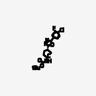 CC(C)(C)OC(=O)N[C@H]1CC[C@H](c2nnc(-c3ccc(Cl)c(F)c3)o2)CC1